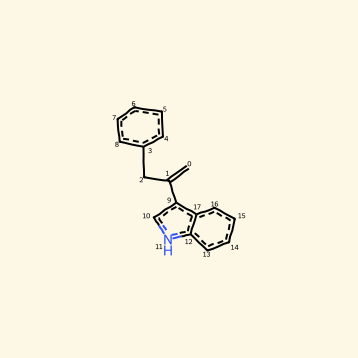 C=C(Cc1ccccc1)c1c[nH]c2ccccc12